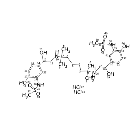 CC(C)(CCCCC(C)(C)NCC(O)c1ccc(O)c(NS(C)(=O)=O)c1)NCC(O)c1ccc(O)c(NS(C)(=O)=O)c1.Cl.Cl